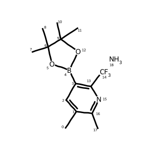 Cc1cc(B2OC(C)(C)C(C)(C)O2)c(C(F)(F)F)nc1C.N